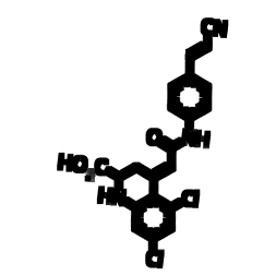 N#CC=Cc1ccc(NC(=O)C=C2CC(C(=O)O)Nc3cc(Cl)cc(Cl)c32)cc1